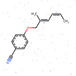 C/C=C\C=C(/C)COc1ccc(C#N)cc1